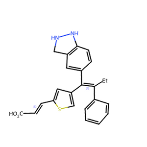 CC/C(=C(/c1csc(/C=C/C(=O)O)c1)c1ccc2c(c1)CNN2)c1ccccc1